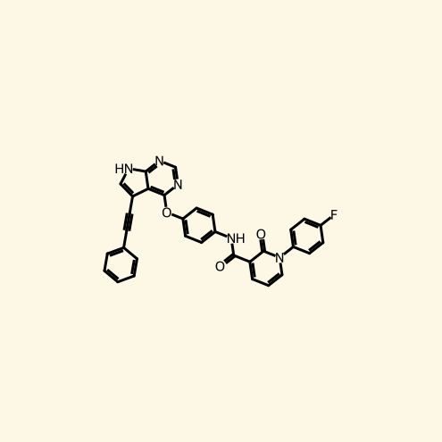 O=C(Nc1ccc(Oc2ncnc3[nH]cc(C#Cc4ccccc4)c23)cc1)c1cccn(-c2ccc(F)cc2)c1=O